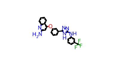 Nc1cc(Oc2cccc(-c3nnc(Nc4cccc(C(F)(F)F)c4)[nH]3)c2)c2ccccc2n1